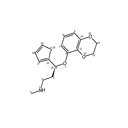 CNCC[C@H](Oc1cccc2c1OCCO2)c1cccs1